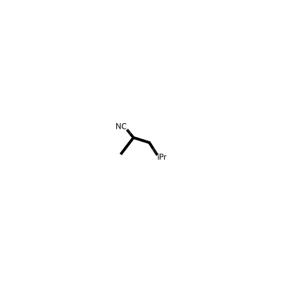 C[C](C#N)CC(C)C